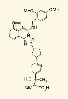 COc1ccc(CNc2nc3c(OC)cccc3c3nc(C4CCC(c5ccc(C(C)(C)N(C(=O)O)C(C)(C)C)cn5)C4)nn23)c(OC)c1